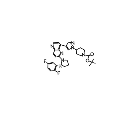 CC(C)(C)OC(=O)N1CCC(n2cc(-c3ccnc4ccc(N5CCC[C@@H]5c5cc(F)ccc5F)nc34)cn2)CC1